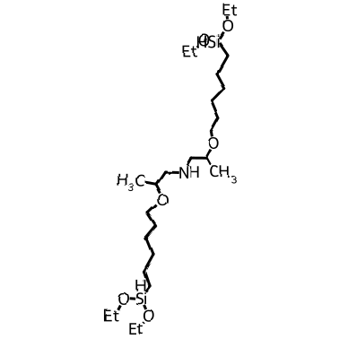 CCO[SiH](CCCCCCOC(C)CNCC(C)OCCCCCC[SiH](OCC)OCC)OCC